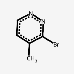 Cc1[c]cnnc1Br